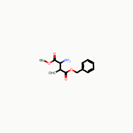 CC(C)(C)OC(=O)C(N)C(C=O)C(=O)OCc1ccccc1